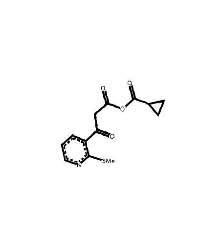 CSc1ncccc1C(=O)CC(=O)OC(=O)C1CC1